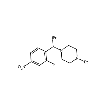 CCN1CCN(C(c2ccc([N+](=O)[O-])cc2F)C(C)C)CC1